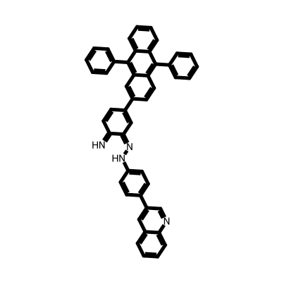 N=C1C=CC(c2ccc3c(-c4ccccc4)c4ccccc4c(-c4ccccc4)c3c2)=C/C1=N/Nc1ccc(-c2cnc3ccccc3c2)cc1